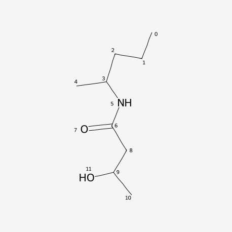 CCCC(C)NC(=O)CC(C)O